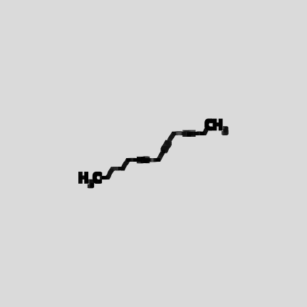 CCC#CCC#CCC#CCCCCC